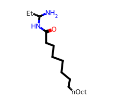 CCCCCCCCCCCCCCCC(=O)NC(N)CC